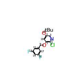 CC(C)(C)Oc1cnc(Cl)c(OCc2cc(F)cc(F)c2)c1